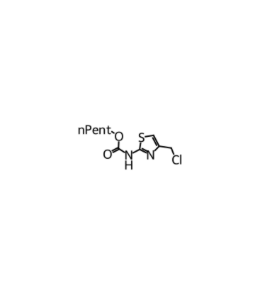 CCCCCOC(=O)Nc1nc(CCl)cs1